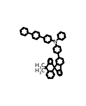 CC1(C)c2ccccc2C2(c3ccccc3-c3ccc(-c4ccc(N(c5ccccc5)c5ccc(-c6ccc(-c7ccccc7)cc6)cc5)cc4)cc32)c2ccccc21